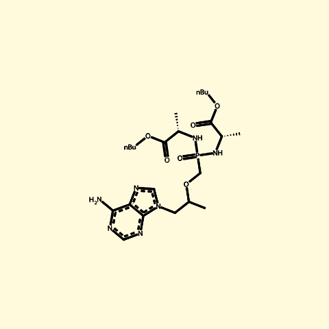 CCCCOC(=O)[C@H](C)NP(=O)(COC(C)Cn1cnc2c(N)ncnc21)N[C@@H](C)C(=O)OCCCC